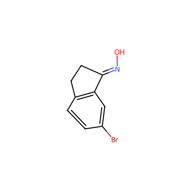 ON=C1CCc2ccc(Br)cc21